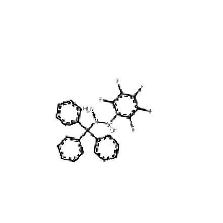 NN([S+]([O-])c1c(F)c(F)c(F)c(F)c1F)C(c1ccccc1)(c1ccccc1)c1ccccc1